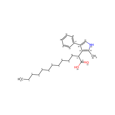 CCCCCCCCCCCC(C(=O)O)c1c(-c2ccccc2)c[nH]c1C